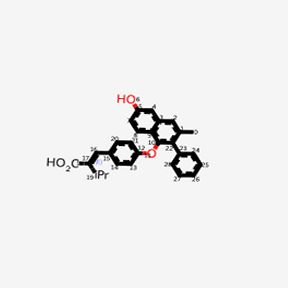 Cc1cc2cc(O)ccc2c(Oc2ccc(/C=C(/C(=O)O)C(C)C)cc2)c1-c1ccccc1